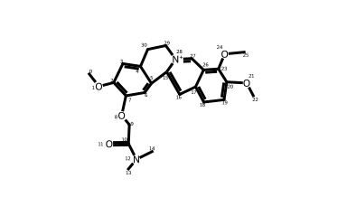 COc1cc2c(cc1OCC(=O)N(C)C)-c1cc3ccc(OC)c(OC)c3c[n+]1CC2